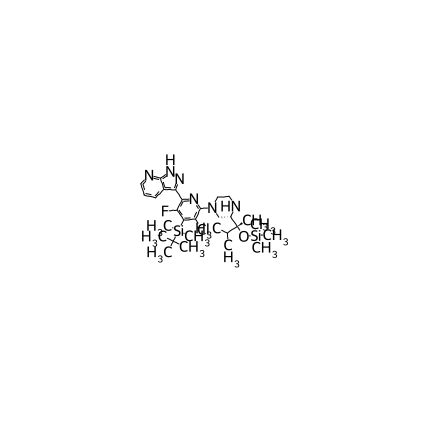 CC(C)[C@@](C)(O[Si](C)(C)C)[C@@H]1CN(c2nc(-c3n[nH]c4ncccc34)c(F)c([Si](C)(C)C(C)(C)C)c2Cl)CCN1